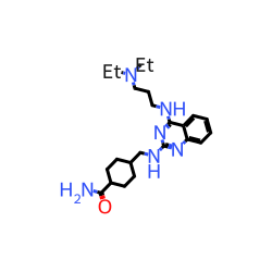 CCN(CC)CCCNc1nc(NCC2CCC(C(N)=O)CC2)nc2ccccc12